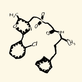 Cc1oc(-c2ccccc2Cl)nc1CS(=O)(=O)CC(=O)NC(C)CCc1ccccc1